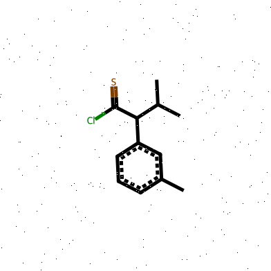 Cc1cccc(C(C(=S)Cl)C(C)C)c1